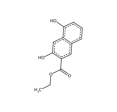 CCOC(=O)c1cc2cccc(O)c2cc1O